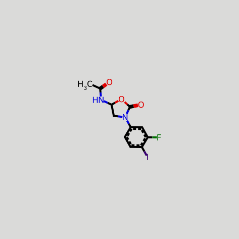 CC(=O)NC1CN(c2ccc(I)c(F)c2)C(=O)O1